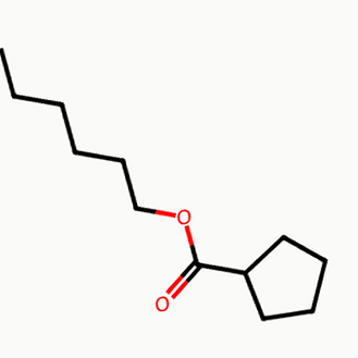 CCCCCCOC(=O)C1CCCC1